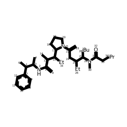 C=C(NC(C)C(C)c1ccccc1)C(C)C(CC)C1CCCN1C(=C)CC(CC)C(C(C)CC)N(C)C(=O)CC(C)C